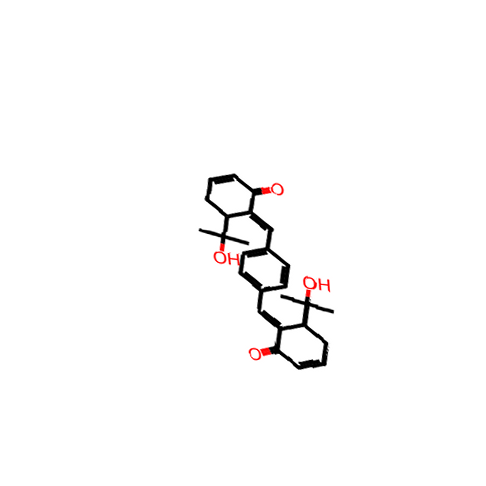 CC(C)(O)C1CC=CC(=O)/C1=C/c1ccc(/C=C2/C(=O)C=CCC2C(C)(C)O)cc1